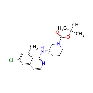 Cc1cc(Cl)cc2ccnc(N[C@H]3CCCN(C(=O)OC(C)(C)C)C3)c12